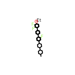 CCOc1ccc(-c2ccc(-c3ccc(C4CCC(C5CCC(C)CC5)CC4)cc3F)cc2)c(F)c1F